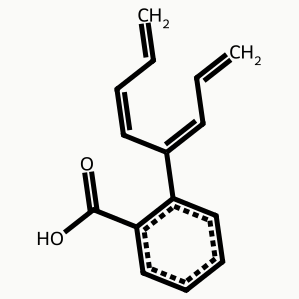 C=C/C=C\C(=C/C=C)c1ccccc1C(=O)O